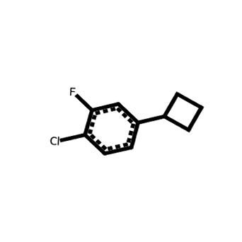 Fc1cc(C2CCC2)ccc1Cl